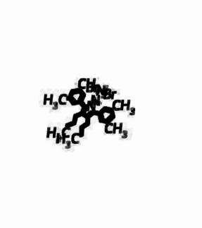 CCCCC1=C(c2cc(C)cc(C)c2)[N+](=[N-])C(c2cc(C)cc(C)c2)=C1CCCC.[Br][Ni][Br]